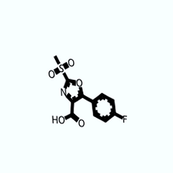 CS(=O)(=O)c1nc(C(=O)O)c(-c2ccc(F)cc2)o1